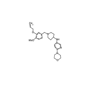 C=CCOc1cc(CN2CCC(Nc3ccc(N4CCOCC4)nc3)CC2)ccc1OC